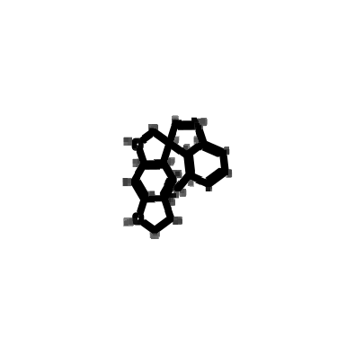 Clc1cccc2c1C1(C=N2)COc2cc3c(cc21)CCO3